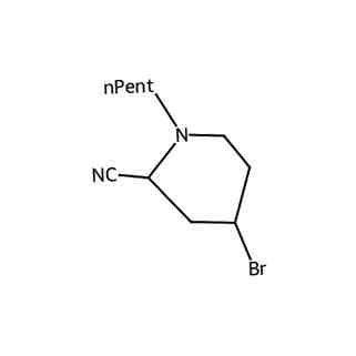 CCCCCN1CCC(Br)CC1C#N